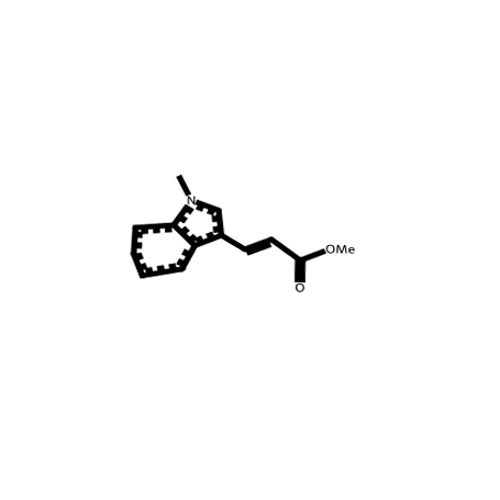 COC(=O)C=Cc1cn(C)c2ccc[c]c12